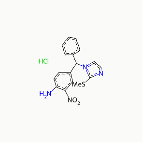 CSc1nccn1C(c1ccccc1)c1ccc(N)c([N+](=O)[O-])c1.Cl